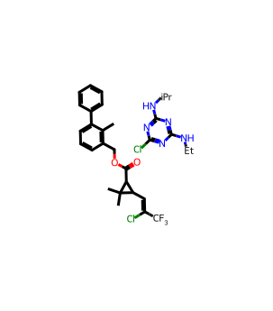 CCNc1nc(Cl)nc(NC(C)C)n1.Cc1c(COC(=O)C2C(/C=C(\Cl)C(F)(F)F)C2(C)C)cccc1-c1ccccc1